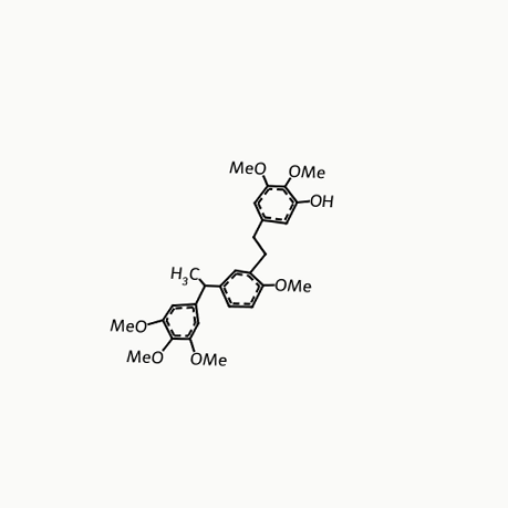 COc1ccc(C(C)c2cc(OC)c(OC)c(OC)c2)cc1CCc1cc(O)c(OC)c(OC)c1